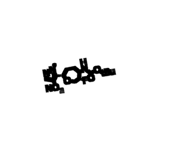 Cn1ncc([N+](=O)[O-])c1[C@@H]1CC[C@@H](NC(=O)OC(C)(C)C)[C@H](F)CO1